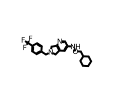 FC(F)(F)c1ccc(CN2Cc3cc(NOCC4CCCCC4)cnc3C2)cc1